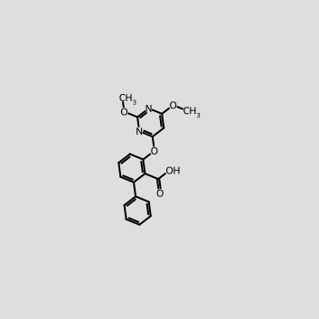 COc1cc(Oc2cccc(-c3ccccc3)c2C(=O)O)nc(OC)n1